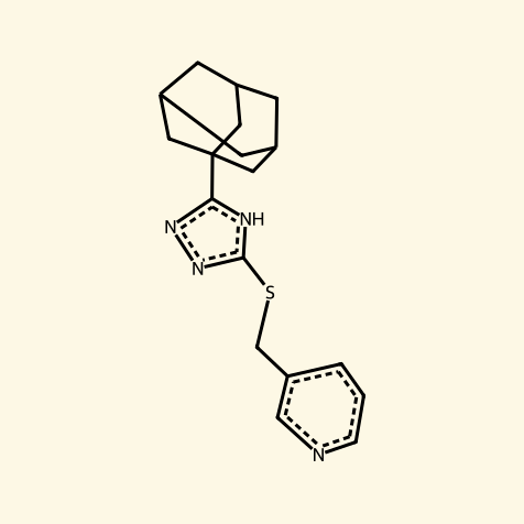 c1cncc(CSc2nnc(C34CC5CC(CC(C5)C3)C4)[nH]2)c1